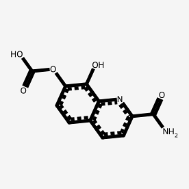 NC(=O)c1ccc2ccc(OC(=O)O)c(O)c2n1